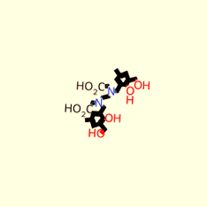 Cc1cc(CO)c(O)c(CN(CCN(CC(=O)O)Cc2cc(C)cc(CO)c2O)CC(=O)O)c1